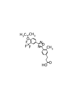 Cc1cc(CCC(=O)O)ccc1-c1nc(-c2ccc(OC(C)C)c(C(F)(F)F)c2)no1